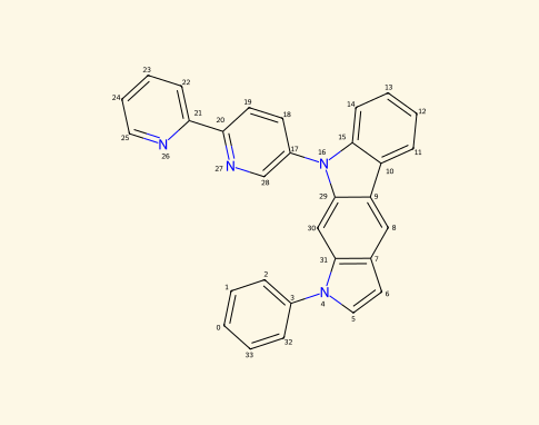 c1ccc(-n2ccc3cc4c5ccccc5n(-c5ccc(-c6ccccn6)nc5)c4cc32)cc1